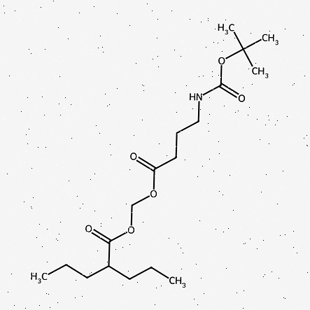 CCCC(CCC)C(=O)OCOC(=O)CCCNC(=O)OC(C)(C)C